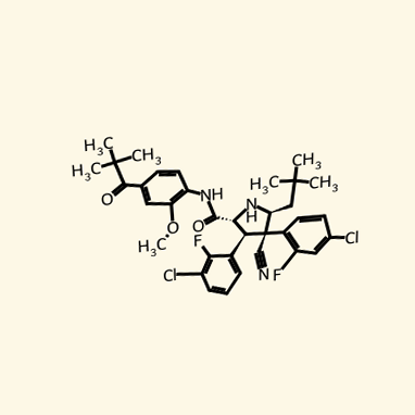 COc1cc(C(=O)C(C)(C)C)ccc1NC(=O)[C@@H]1N[C@@H](CC(C)(C)C)[C@](C#N)(c2ccc(Cl)cc2F)[C@H]1c1cccc(Cl)c1F